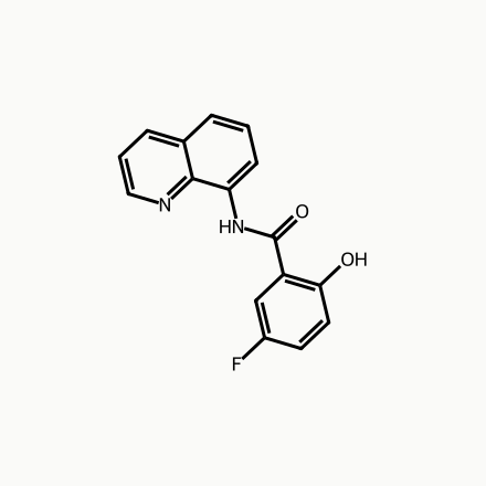 O=C(Nc1cccc2cccnc12)c1cc(F)ccc1O